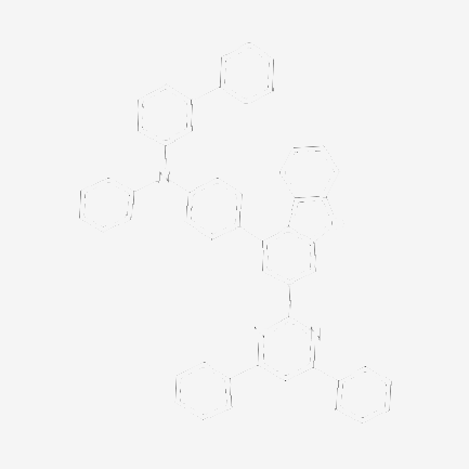 c1ccc(-c2cccc(N(c3ccccc3)c3ccc(-c4cc(-c5nc(-c6ccccc6)cc(-c6ccccc6)n5)cc5oc6ccccc6c45)cc3)c2)cc1